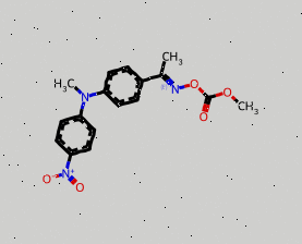 COC(=O)O/N=C(\C)c1ccc(N(C)c2ccc([N+](=O)[O-])cc2)cc1